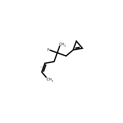 C/C=C\CC(C)(F)CC1=CC1